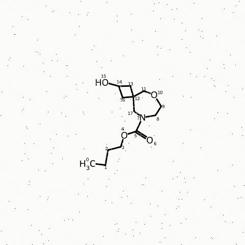 CCCCOC(=O)N1CCOCC2(CC(O)C2)C1